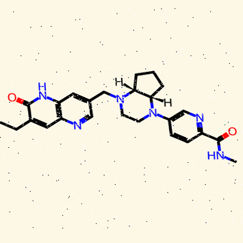 CCc1cc2ncc(CN3CCN(c4ccc(C(=O)NC)nc4)[C@H]4CCC[C@H]43)cc2[nH]c1=O